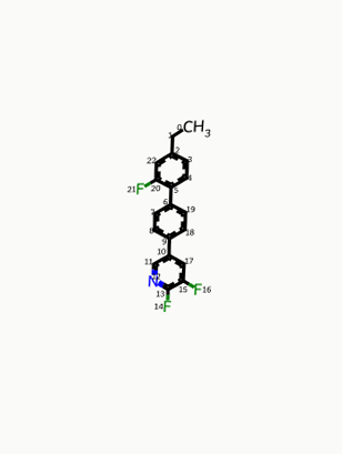 CCc1ccc(-c2ccc(-c3cnc(F)c(F)c3)cc2)c(F)c1